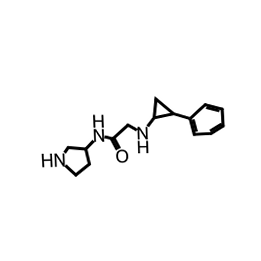 O=C(CNC1CC1c1ccccc1)NC1CCNC1